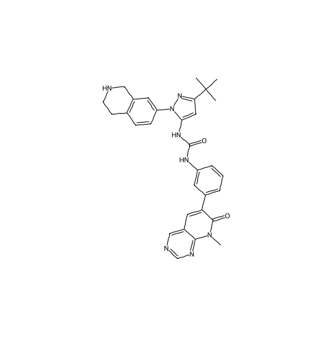 Cn1c(=O)c(-c2cccc(NC(=O)Nc3cc(C(C)(C)C)nn3-c3ccc4c(c3)CNCC4)c2)cc2cncnc21